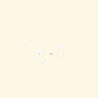 C=CC(=O)N1CC[C@H](n2nc(C#Cc3c(Cl)cc(C4CC4)c4c3cnn4C3CC3)c(C(N)=O)c2NC)C1